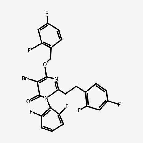 O=c1c(Br)c(OCc2ccc(F)cc2F)nc(CCc2ccc(F)cc2F)n1-c1c(F)cccc1F